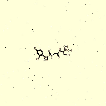 CC(C)C[C@@H](NC(=O)CNC(=O)[C@@H]1CCN1c1ccc(F)cc1Cl)B(O)O